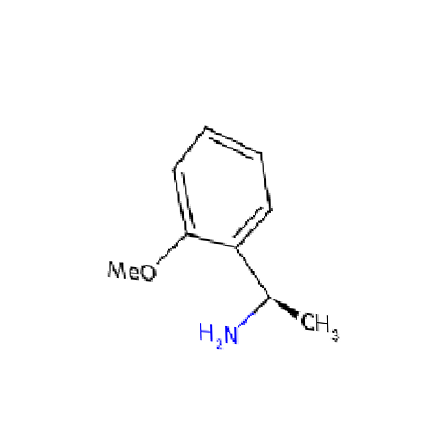 COc1ccccc1[C@@H](C)N